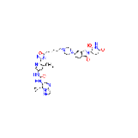 Cc1cc(NC(=O)Nc2cnc3ccnn3c2C2CC2)cnc1-c1noc(CCCCCN2CCN(c3ccc4c(c3)CN(C3CCC(=O)NC3O)C4=O)CC2)n1